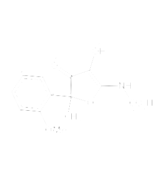 COc1ccccc1C1(C)OC(NC(=O)O)=C(O)C1=O